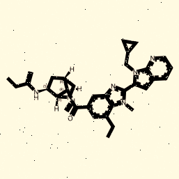 C=N[C@@H]1[C@@H]2C[C@H](NC(=C)CC)[C@H]1N(C(=O)c1cc(CC)c3c(c1)nc(-c1cc4cccnc4n1CC1CC1)n3C)C2